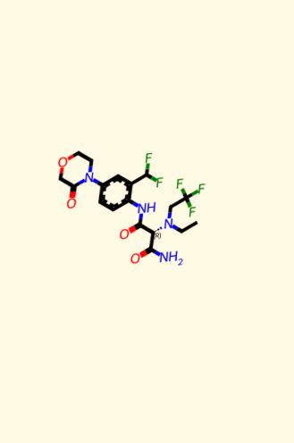 CCN(CC(F)(F)F)[C@H](C(N)=O)C(=O)Nc1ccc(N2CCOCC2=O)cc1C(F)F